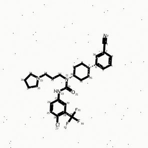 N#Cc1cccc([C@H]2CC[C@@H](N(CCCN3CCCC3)C(=O)Nc3ccc(Cl)c(C(F)(F)F)c3)CC2)c1